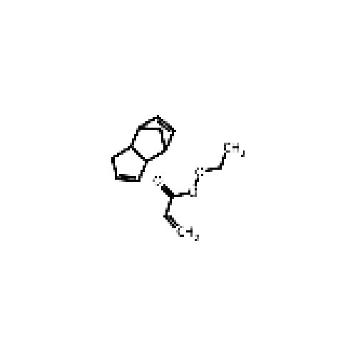 C1=CC2C3C=CC(C3)C2C1.C=CC(=O)OOCC